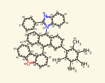 Bc1c(B)c(B)c(-c2ccc3c(-n4c(-c5ccccc5)nc5ccccc54)c4ccccc4c(-c4cccc5oc6ccccc6c45)c3c2)c(C)c1B